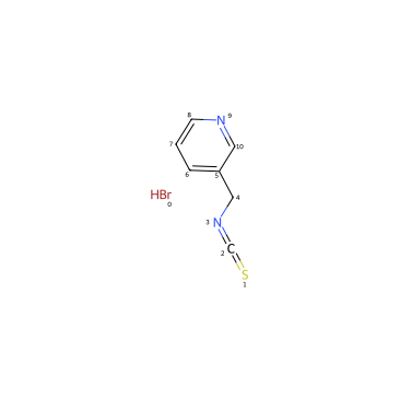 Br.S=C=NCc1cccnc1